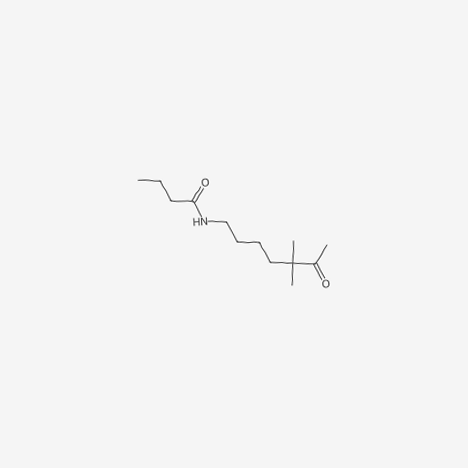 CCCC(=O)NCCCCC(C)(C)C(C)=O